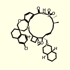 CO[C@]1(CN2CC[C@@H]3CCCC[C@H]3C2)/C=C/C[C@H](C)[C@@H](C)S(=O)(=O)NC(=O)c2ccc3c(c2)N(C[C@@H]2CC[C@H]21)C[C@@]1(CCCc2cc(Cl)ccc21)CO3